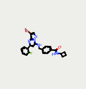 O=C(NC1CCC1)c1ccc(CNc2cc(-c3ccccc3F)nc3c(Br)cnn23)cc1